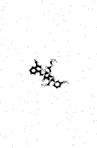 CCOC(=O)Cn1c(=O)n(Cc2ncc(C#N)c3ccccc23)c(=O)c2c1nc(N1CCCC(N)C1)n2CC